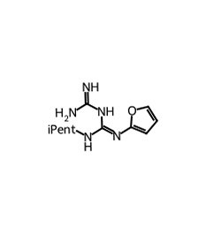 CCCC(C)NC(=Nc1ccco1)NC(=N)N